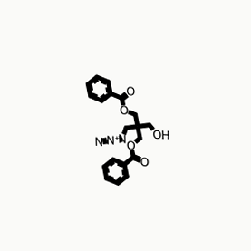 [N-]=[N+]=NCC(CO)(COC(=O)c1ccccc1)COC(=O)c1ccccc1